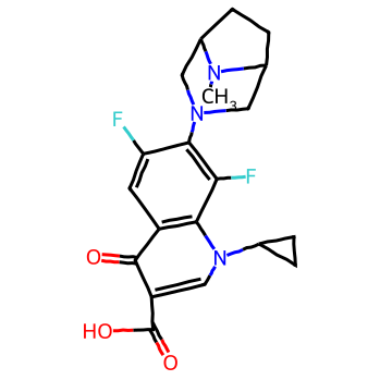 CN1C2CCC1CN(c1c(F)cc3c(=O)c(C(=O)O)cn(C4CC4)c3c1F)C2